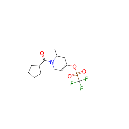 CC1CC(OS(=O)(=O)C(F)(F)F)=CCN1C(=O)C1CCCC1